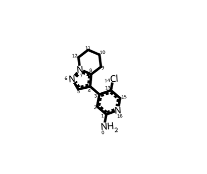 Nc1cc(-c2cnn3c2CCCC3)c(Cl)cn1